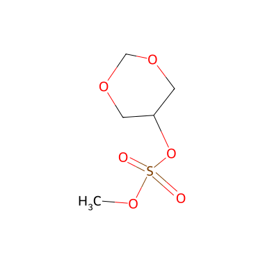 COS(=O)(=O)OC1COCOC1